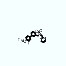 O=C1Oc2ccc(-c3ccc(OC(F)(F)F)c(F)c3)cc2CN1Cc1ncccn1